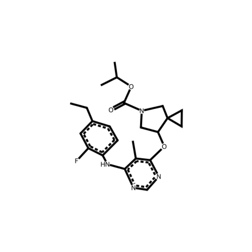 CCc1ccc(Nc2ncnc(OC3CN(C(=O)OC(C)C)CC34CC4)c2C)c(F)c1